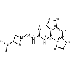 CN(C)C1CN(SNC(=O)Nc2c3c(cc4c2CCC4)CCC3)C1